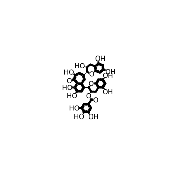 O=C(O[C@@H]1Cc2c(O)cc(O)cc2O[C@@H]1c1cc(O)c(O)c2c(=O)c(O)cc([C@H]3Oc4cc(O)cc(O)c4C[C@H]3O)cc12)c1cc(O)c(O)c(O)c1